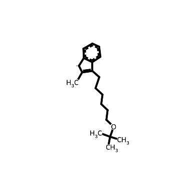 CC1=C(CCCCCCOC(C)(C)C)c2ccccc2[CH]1